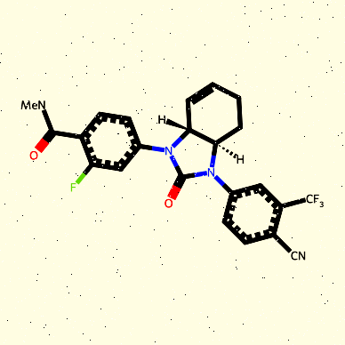 CNC(=O)c1ccc(N2C(=O)N(c3ccc(C#N)c(C(F)(F)F)c3)[C@@H]3CCC=C[C@H]32)cc1F